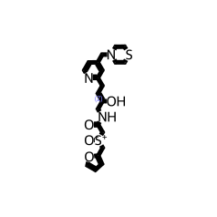 O=C(C[S+]([O-])Cc1ccco1)NC/C(O)=C/Cc1cc(CN2CCSCC2)ccn1